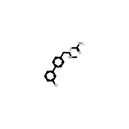 CN[C@@H](CC(N)=O)Cc1ccc(-c2cccc(Cl)c2)cc1